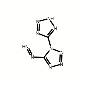 N=Nc1nnnn1-c1nn[nH]n1